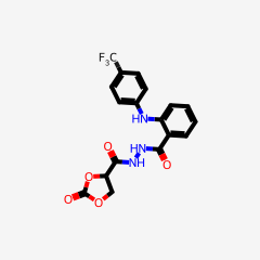 O=C1OCC(C(=O)NNC(=O)c2ccccc2Nc2ccc(C(F)(F)F)cc2)O1